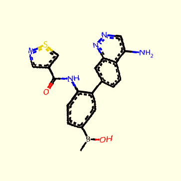 CB(O)c1ccc(NC(=O)c2cnsc2)c(-c2ccc3c(N)cnnc3c2)c1